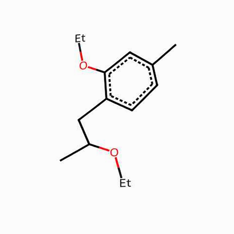 CCOc1cc(C)ccc1CC(C)OCC